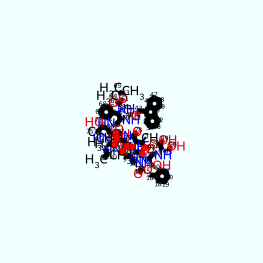 CC[C@H](C)[C@H](NC(=O)[C@@H](CCCNC(=O)OCc1ccccc1)NC(=O)[C@H](CC(C)C)NC(=O)C(NC(=O)[C@@H](NC(=O)OCC1c2ccccc2-c2ccccc21)[C@H](NC(=O)OC(C)(C)C)c1ccccc1)[C@H](O)C(C)C)C(=O)N[C@H](C(=O)NCC(=O)N[C@@H](CO)C(=O)N[C@@H](CO)C(=O)O)[C@H](C)O